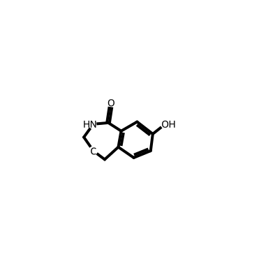 O=C1NCCCc2ccc(O)cc21